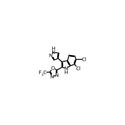 FC(F)(F)c1nnc(-c2[nH]c3c(Cl)c(Cl)ccc3c2-c2cn[nH]c2)o1